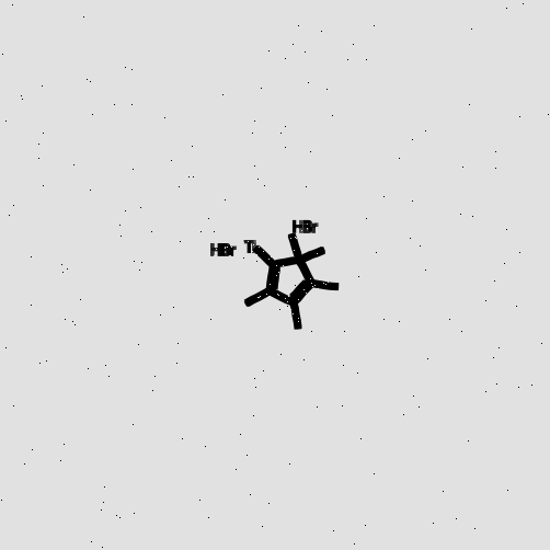 Br.Br.CC1=C(C)C(C)(C)[C]([Ti])=C1C